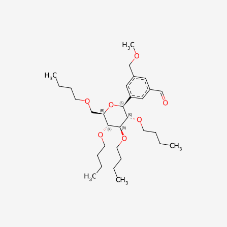 CCCCOC[C@H]1O[C@@H](c2cc(C=O)cc(COC)c2)[C@H](OCCCC)[C@@H](OCCCC)[C@@H]1OCCCC